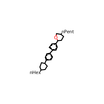 CCCCCCC1CCC(c2ccc(-c3ccc(C4CCC(CCCCC)CO4)cc3)cc2)CC1